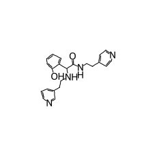 O=C(NCCc1ccncc1)C(NCCc1cccnc1)c1ccccc1O